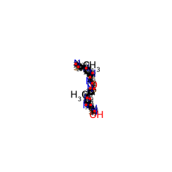 C[C@H](c1ccc2sc(Oc3nnc(-c4cnc5c(c4)CCN([C@@H](C)c4ccc6scnc6c4)CC5)s3)nc2c1)N1CCc2cc(-c3nnc(O)s3)cnc2CC1